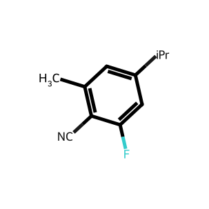 Cc1cc(C(C)C)cc(F)c1C#N